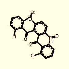 CCOc1ccc(P=O)c(C(=O)c2c(Cl)cccc2Cl)c1C(=O)c1c(Cl)cccc1Cl